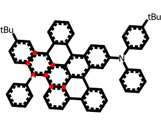 CC(C)(C)c1ccc(N(c2ccccc2)c2ccc3c(-c4ccccc4-c4ccccc4)c4cc(N(c5ccccc5)c5ccc(C(C)(C)C)cc5)ccc4c(-c4ccccc4-c4ccccc4)c3c2)cc1